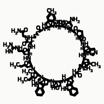 CCCC[C@H]1C(=O)N(C)[C@@H](CCCC)C(=O)N[C@@H](CCCNC(=N)N)C(=O)N[C@H](C(=O)NCC(N)=O)CSCC(=O)N[C@@H](Cc2cccc(C)c2)C(=O)N(C)[C@@H](C)C(=O)N[C@@H](CC(N)=O)C(=O)N2CCC[C@H]2C(=O)N[C@@H](Cc2cnc[nH]2)C(=O)N[C@@H](CC(C)C)C(=O)N(C)CC(=O)N[C@@H](Cc2c[nH]c3ccccc23)C(=O)N[C@@H](CO)C(=O)N[C@@H](Cc2c[nH]c3ccccc23)C(=O)N1C